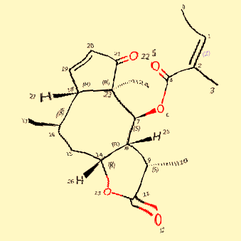 C/C=C(/C)C(=O)O[C@H]1[C@@H]2[C@H](C)C(=O)O[C@@H]2C[C@@H](C)[C@@H]2C=CC(=O)[C@]21C